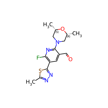 Cc1nnc(-c2cc(C=O)c(N3C[C@@H](C)O[C@@H](C)C3)nc2F)s1